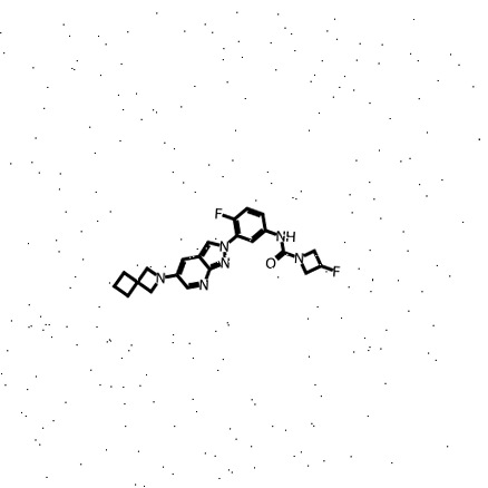 O=C(Nc1ccc(F)c(-n2cc3cc(N4CC5(CCC5)C4)cnc3n2)c1)N1CC(F)C1